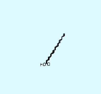 CCCCCCC=CCCC=CCCCCCC(=O)O